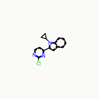 Clc1nccc(-c2cc3ccccc3n2C2CC2)n1